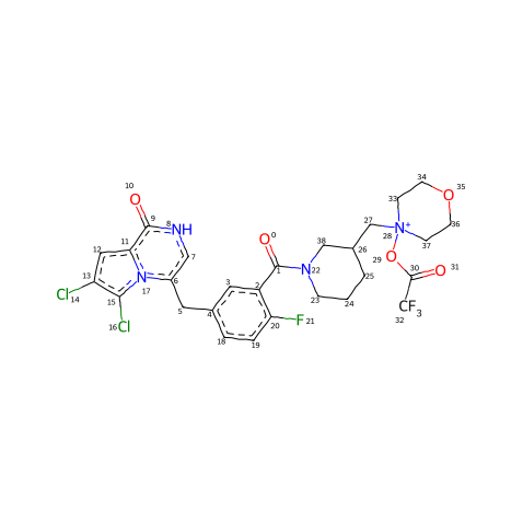 O=C(c1cc(Cc2c[nH]c(=O)c3cc(Cl)c(Cl)n23)ccc1F)N1CCCC(C[N+]2(OC(=O)C(F)(F)F)CCOCC2)C1